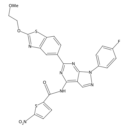 COCCOc1nc2cc(-c3nc(NC(=O)c4ccc([N+](=O)[O-])s4)c4cnn(-c5ccc(F)cc5)c4n3)ccc2s1